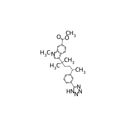 COC(=O)c1ccc2c(C(C)(C)CCC(C)c3cccc(-c4nnn[nH]4)c3)cn(C)c2c1